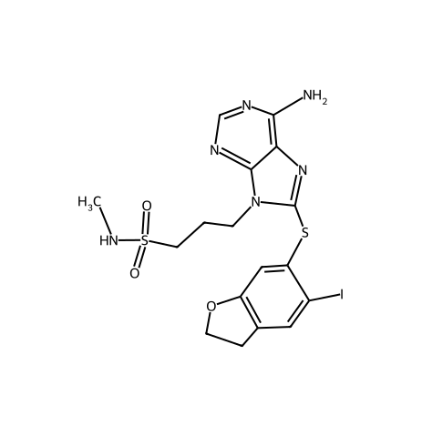 CNS(=O)(=O)CCCn1c(Sc2cc3c(cc2I)CCO3)nc2c(N)ncnc21